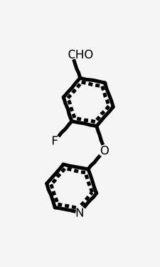 O=Cc1ccc(Oc2cccnc2)c(F)c1